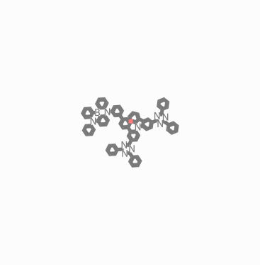 c1ccc(-c2nc(-c3ccccc3)nc(-c3ccc(-n4c5ccccc5c5cc(-c6nc(-c7ccccc7)nc(-c7ccccc7)n6)ccc54)c(-c4ccc(-c5cccc(N6c7ccccc7B7c8ccccc8N(c8ccccc8)c8cccc6c87)c5)cc4)c3)n2)cc1